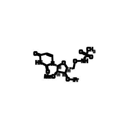 CO[C@@H]1[C@H](OC(C)C)[C@@H](CONS(C)(=O)=O)O[C@H]1n1ccc(=O)[nH]c1=O